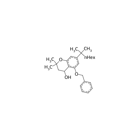 CCCCCCC(C)(C)c1cc(OCc2ccccc2)c2c(c1)OC(C)(C)CC2O